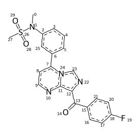 CN(c1cccc(-c2ccnc3c(C(=O)c4ccc(F)cc4)ncn23)c1)S(C)(=O)=O